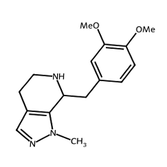 COc1ccc(CC2NCCc3cnn(C)c32)cc1OC